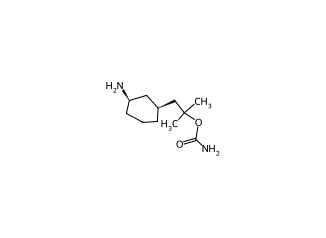 CC(C)(C[C@H]1CCC[C@@H](N)C1)OC(N)=O